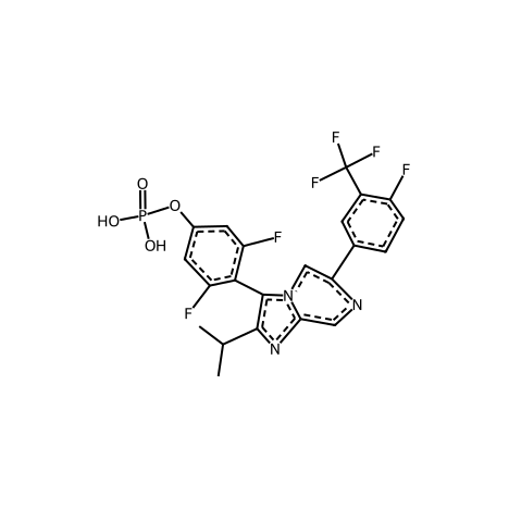 CC(C)c1nc2cnc(-c3ccc(F)c(C(F)(F)F)c3)cn2c1-c1c(F)cc(OP(=O)(O)O)cc1F